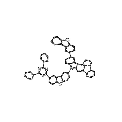 c1ccc(-c2nc(-c3ccccc3)nc(-c3ccc4sc5ccc(-n6c7ccc(-c8ccc9oc%10ccccc%10c9c8)cc7c7c8cccc9c8c(cc76)-c6ccccc6-9)cc5c4c3)n2)cc1